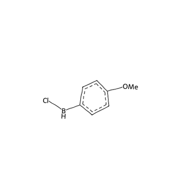 COc1ccc(BCl)cc1